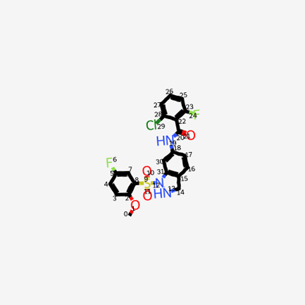 COc1ccc(F)cc1S(=O)(=O)N1NCc2ccc(NC(=O)c3c(F)cccc3Cl)cc21